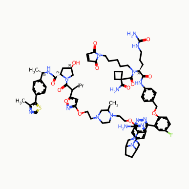 Cc1ncsc1-c1ccc([C@H](C)NC(=O)[C@@H]2C[C@@H](O)CN2C(=O)C(c2cc(OCCN3CCN(CCOc4cc(N5C6CCC5CN(c5cc(-c7cc(F)ccc7OCc7ccc(NC(=O)[C@H](CCCNC(N)=O)N(CCCCCN8C(=O)C=CC8=O)C(=O)C8(C(N)=O)CCC8)cc7)nnc5N)C6)ccn4)C(C)C3)no2)C(C)C)cc1